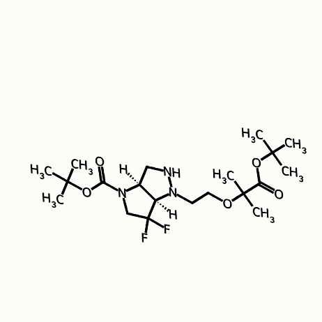 CC(C)(C)OC(=O)N1CC(F)(F)[C@H]2[C@@H]1CNN2CCOC(C)(C)C(=O)OC(C)(C)C